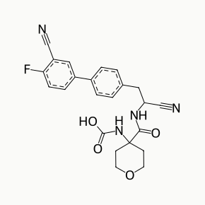 N#Cc1cc(-c2ccc(CC(C#N)NC(=O)C3(NC(=O)O)CCOCC3)cc2)ccc1F